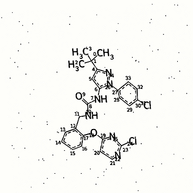 CC(C)(C)c1cc(NC(=O)NCc2ccccc2Oc2ccnc(Cl)n2)n(-c2ccc(Cl)cc2)n1